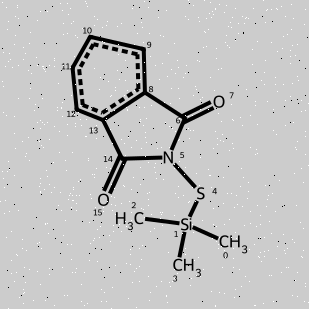 C[Si](C)(C)SN1C(=O)c2ccccc2C1=O